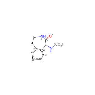 O=C(O)NC1C(=O)NCCc2ccccc21